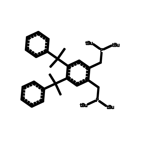 CC(C)(c1ccccc1)c1cc(CP(C(C)(C)C)C(C)(C)C)c(CP(C(C)(C)C)C(C)(C)C)cc1C(C)(C)c1ccccc1